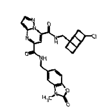 Cn1c(=O)oc2ccc(CNC(=O)c3cc(C(=O)NCC45C6C7C4C4C5C6C74Cl)n4nccc4n3)cc21